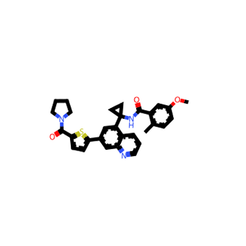 COc1ccc(C)c(C(=O)NC2(c3cc(-c4ccc(C(=O)N5CCCC5)s4)cc4ncccc34)CC2)c1